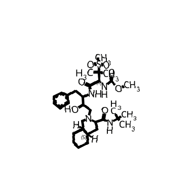 COC(=O)N[C@H](C(=O)NC(Cc1ccccc1)C(O)CN1C[C@H]2CCCC[C@H]2CC1C(=O)NC(C)(C)C)C(C)(C)S(C)(=O)=O